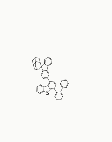 c1ccc(-c2ccccc2-c2ccc(-c3ccc4c(c3)-c3ccccc3C43C4CC5CC(C4)CC3C5)c3c2sc2ccccc23)cc1